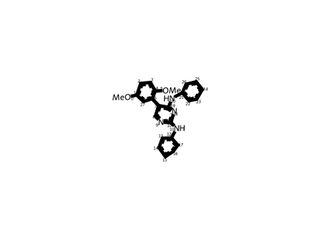 COc1ccc(OC)c(-c2cnc(Nc3ccccc3)nc2Nc2ccccc2)c1